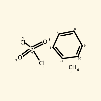 C.O=S(=O)(Cl)Cl.c1ccccc1